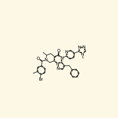 Cc1cc(C(=O)N2Cc3c(c(=O)n(-c4ccc(-c5nncn5C)cn4)c4c(Cc5ccccc5)cnn34)CC2C)ccc1Br